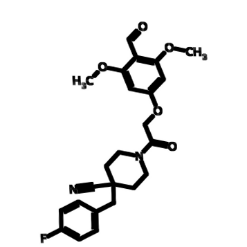 COc1cc(OCC(=O)N2CCC(C#N)(Cc3ccc(F)cc3)CC2)cc(OC)c1C=O